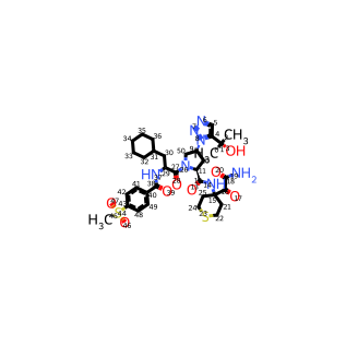 CC(C)(O)c1cnnn1[C@H]1C[C@@H](C(=O)NC2(C(=O)C(N)=O)CCSCC2)N(C(=O)C(CC2CCCCC2)NC(=O)c2ccc(S(C)(=O)=O)cc2)C1